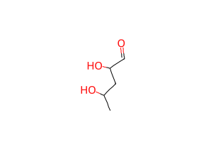 CC(O)CC(O)C=O